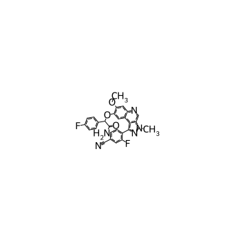 COc1cc2ncc3c(c(-c4ccc(C#N)cc4F)nn3C)c2cc1OC(C(N)=O)c1ccc(F)cc1